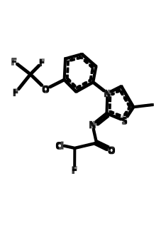 Cc1cn(-c2cccc(OC(F)(F)F)c2)c(=NC(=O)C(F)Cl)s1